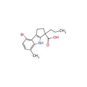 CCCC1(C(=O)O)CCc2c1[nH]c1c(C)ccc(Br)c21